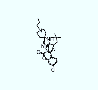 CCCN1CCC(C#N)(NC(=O)C(CC(C)(C)C)N=c2[nH]c(=O)oc3cc(Cl)ccc23)CC1